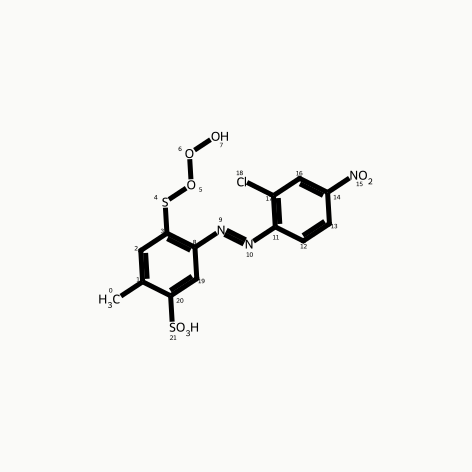 Cc1cc(SOOO)c(N=Nc2ccc([N+](=O)[O-])cc2Cl)cc1S(=O)(=O)O